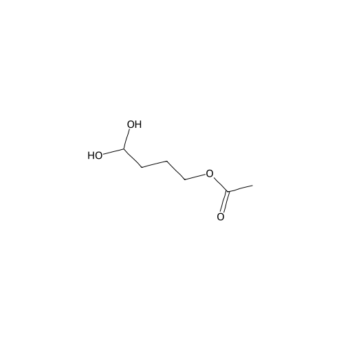 CC(=O)OCCCC(O)O